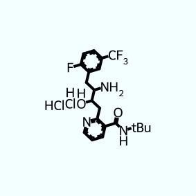 CC(C)(C)NC(=O)c1cccnc1CC(O)C(N)Cc1cc(C(F)(F)F)ccc1F.Cl.Cl